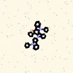 c1ccc(-n2c3ccccc3c3cc(-n4c5ccccc5c5c6c(c7ccccc7n6-c6ccccc6)c6oc7ccccc7c6c54)ccc32)cc1